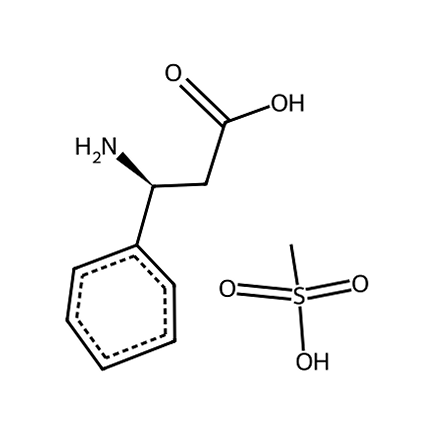 CS(=O)(=O)O.N[C@@H](CC(=O)O)c1ccccc1